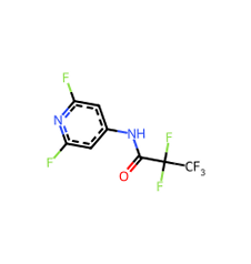 O=C(Nc1cc(F)nc(F)c1)C(F)(F)C(F)(F)F